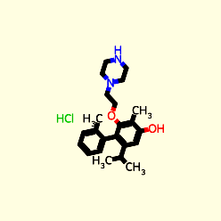 Cc1ccccc1-c1c(C(C)C)cc(O)c(C)c1OCCN1CCNCC1.Cl